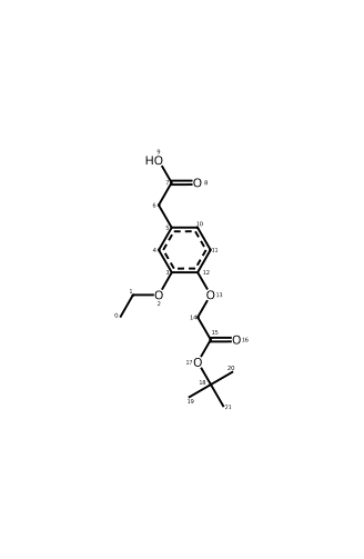 CCOc1cc(CC(=O)O)ccc1OCC(=O)OC(C)(C)C